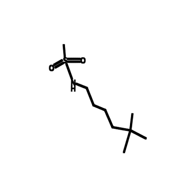 CC(C)(C)CCCCNS(C)(=O)=O